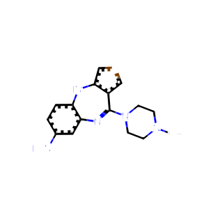 CN1CCN(C2=Nc3cc(N)ccc3Nc3cscc32)CC1